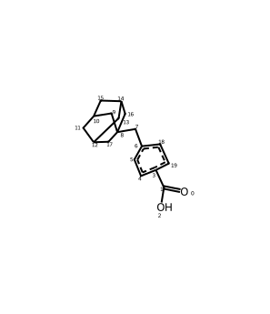 O=C(O)c1ccc(CC23CC4CC(CC(C4)C2)C3)cc1